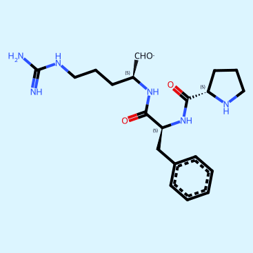 N=C(N)NCCC[C@@H]([C]=O)NC(=O)[C@H](Cc1ccccc1)NC(=O)[C@@H]1CCCN1